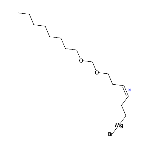 CCCCCCCCOCOCC/C=C\C[CH2][Mg][Br]